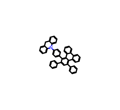 c1ccc(-c2cc(-c3ccccc3)c3c4ccccc4c4ccccc4c3c2-c2ccc(N3c4ccccc4Cc4ccccc43)cc2)cc1